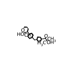 CC(C)(O)C(=O)c1ccc(Cc2ccc(C3=CC=COC3(C)O)cc2)cc1